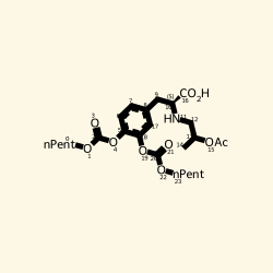 CCCCCOC(=O)Oc1ccc(C[C@H](NCC(C)OC(C)=O)C(=O)O)cc1OC(=O)OCCCCC